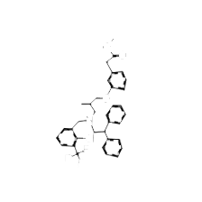 COC(=O)Cc1cccc(OCC(C)CN(Cc2cccc(C(F)(F)F)c2Cl)CC(c2ccccc2)c2ccccc2)c1